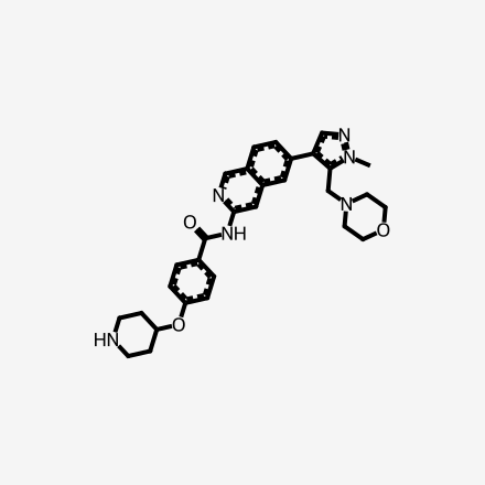 Cn1ncc(-c2ccc3cnc(NC(=O)c4ccc(OC5CCNCC5)cc4)cc3c2)c1CN1CCOCC1